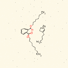 CCCCC1=CC=CC1.CCCCCCCCOC(=O)c1ccccc1C(=O)OCCCCCCCC.[Zn]